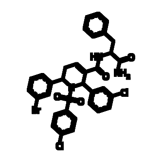 NC(=O)C(Cc1ccccc1)NC(=O)C1=CCC(c2cccc(Br)c2)N(S(=O)(=O)c2ccc(Cl)cc2)C1c1cccc(Cl)c1